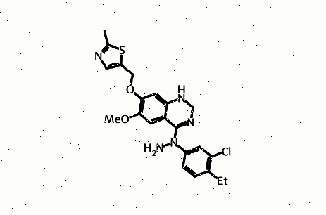 CCc1ccc(N(N)C2=NCNc3cc(OCc4cnc(C)s4)c(OC)cc32)cc1Cl